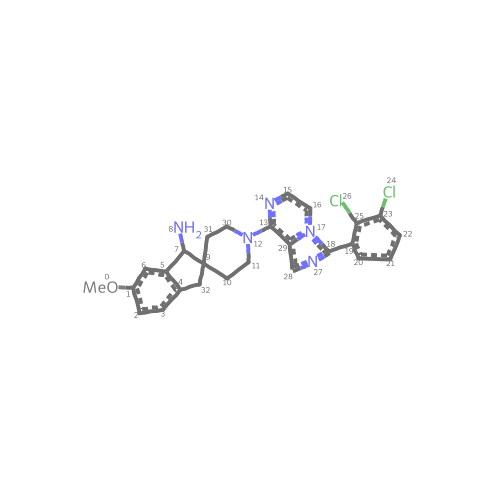 COc1ccc2c(c1)C(N)C1(CCN(c3nccn4c(-c5cccc(Cl)c5Cl)ncc34)CC1)C2